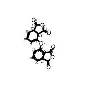 O=C1OC(=O)c2c(OC3=CC=CC4C(=O)OC(=O)C34)cccc21